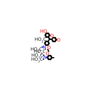 Cc1ccc(N(CC(=O)O)CC(=O)O)c(OCCOc2cc(-c3c4ccc(=O)cc-4oc4cc(O)ccc34)c(C(=O)O)cc2N(CC(=O)O)CC(=O)O)c1